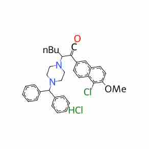 CCCCC(C(=C=O)c1ccc2c(Cl)c(OC)ccc2c1)N1CCN(C(c2ccccc2)c2ccccc2)CC1.Cl